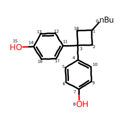 CCCCC1CC(c2ccc(O)cc2)(c2ccc(O)cc2)C1